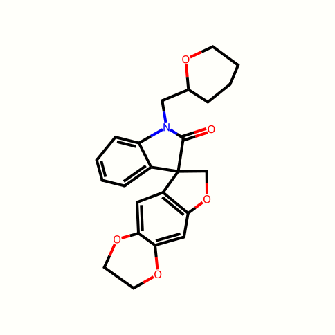 O=C1N(CC2CCCCO2)c2ccccc2C12COc1cc3c(cc12)OCCO3